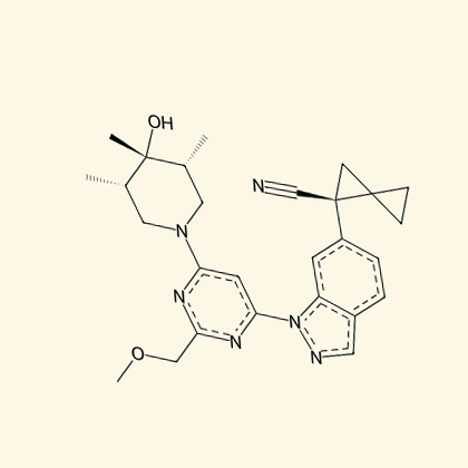 COCc1nc(N2C[C@@H](C)[C@@](C)(O)[C@@H](C)C2)cc(-n2ncc3ccc([C@]4(C#N)CC45CC5)cc32)n1